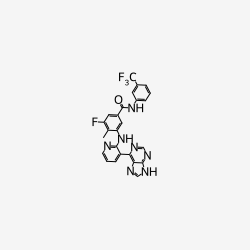 Cc1c(F)cc(C(=O)Nc2cccc(C(F)(F)F)c2)cc1Nc1ncccc1-c1ncnc2[nH]cnc12